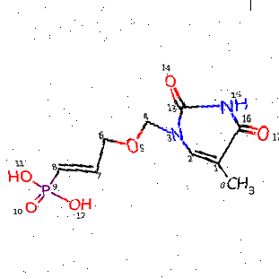 Cc1cn(COCC=CP(=O)(O)O)c(=O)[nH]c1=O